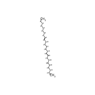 CCCCCCCC/C=C/CCCCCCCCCCCCCCC